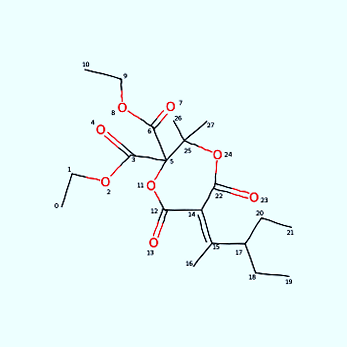 CCOC(=O)C1(C(=O)OCC)OC(=O)C(=C(C)C(CC)CC)C(=O)OC1(C)C